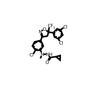 CN(NC(=O)C1CC1)c1cc(C2=NOC(c3cc(Cl)cc(Cl)c3)(C(F)(F)F)C2)ccc1Cl